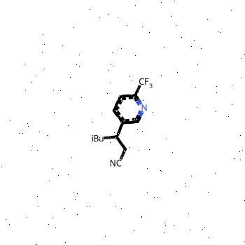 CCC(C)C(CC#N)c1ccc(C(F)(F)F)nc1